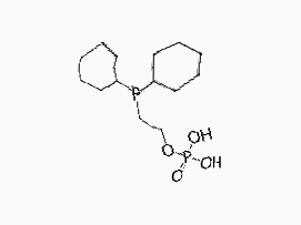 O=P(O)(O)OCCP(C1CCCCC1)C1CCCCC1